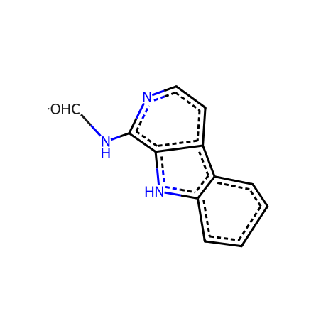 O=[C]Nc1nccc2c1[nH]c1ccccc12